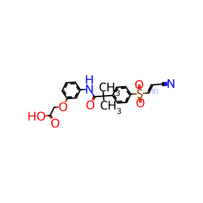 CC(C)(C(=O)Nc1cccc(OCC(=O)O)c1)c1ccc(S(=O)(=O)/C=C/C#N)cc1